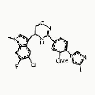 COc1nc(C2=NOCC(c3cn(C)c4cc(F)c(Cl)cc34)N2)ccc1-n1cnc(C)c1